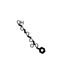 O=C(COCCOCCOCCO)OCc1ccccc1